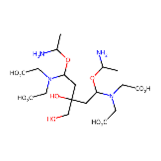 CC(N)OC(CC(O)(CO)CC(OC(C)N)N(CC(=O)O)CC(=O)O)N(CC(=O)O)CC(=O)O